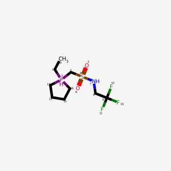 CC[PH]1(CS(=O)(=O)NCC(F)(F)F)CCCC1